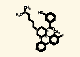 Cc1c(F)cccc1[C@H]1[C@@H](C(=O)c2cccc(O)c2)CN(CCCCN(C)C)C[C@@H]1c1c[c]ccc1F